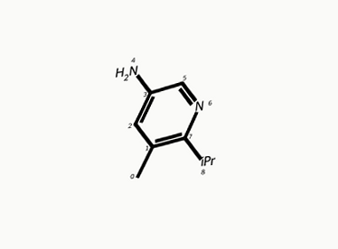 Cc1cc(N)cnc1C(C)C